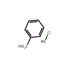 N#CCl.O=C(O)c1ccccc1